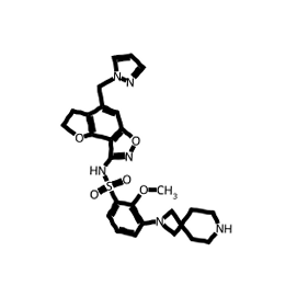 COc1c(N2CC3(CCNCC3)C2)cccc1S(=O)(=O)Nc1noc2cc(Cn3cccn3)c3c(c12)OCC3